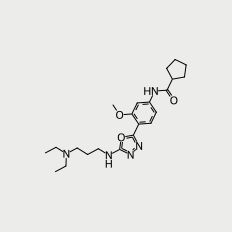 CCN(CC)CCCNc1nnc(-c2ccc(NC(=O)C3CCCC3)cc2OC)o1